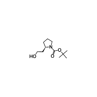 CC(C)(C)OC(=O)N1CCC[C@@H]1CCO